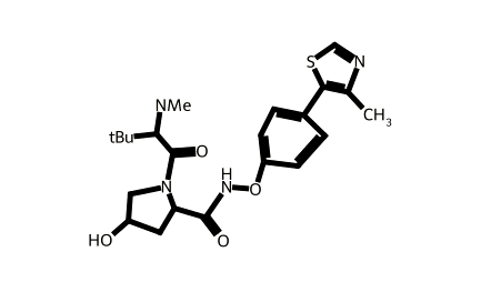 CNC(C(=O)N1CC(O)CC1C(=O)NOc1ccc(-c2scnc2C)cc1)C(C)(C)C